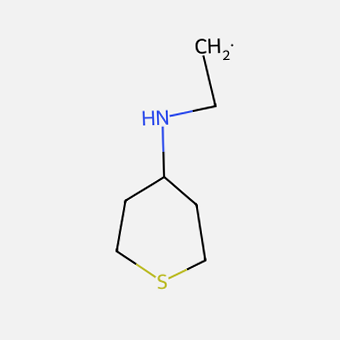 [CH2]CNC1CCSCC1